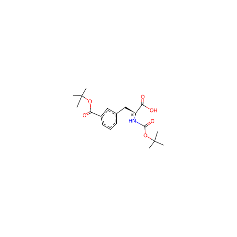 CC(C)(C)OC(=O)N[C@@H](Cc1cccc(C(=O)OC(C)(C)C)c1)C(=O)O